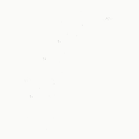 COc1cccc(C(=O)N2CCN3CC(O)(c4nc5ccccc5s4)OCC3C2)c1Cl